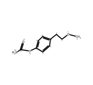 COCCc1ccc(OC(N)=O)cc1